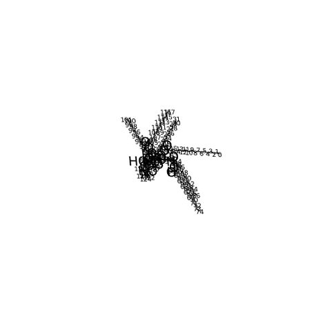 CCCCCCCCCCCCCCCCCC(=O)O[C@H](CCCCCCCCCCC)CC(=O)N[C@H]1[C@@H](OCCNC(=O)C[C@@H](CCCCCCCCCCC)OC(=O)CCCCCCCCCCCCCCC)O[C@H](CO)[C@@H](OP(=O)(O)O)[C@@H]1OC(=O)C[C@@H](CCCCCCCCCCC)OC(=O)CCCCCCCCCCCCC.CCN(CC)CC